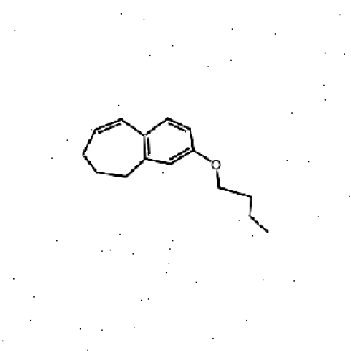 CCCCOc1ccc2c(c1)CCC[C]=C2